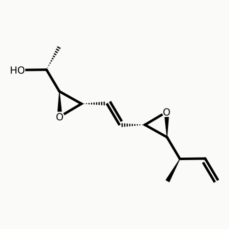 C=C[C@@H](C)[C@@H]1O[C@H]1/C=C/[C@@H]1O[C@H]1[C@@H](C)O